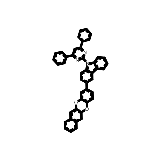 c1ccc(-c2cc(-c3ccccc3)nc(-n3c4ccccc4c4cc(-c5ccc6c(c5)Oc5cc7ccccc7cc5O6)ccc43)n2)cc1